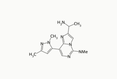 CNc1ncc(-c2cc(C)nn2C)c2nc(C(C)N)cn12